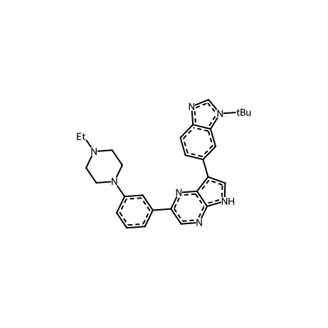 CCN1CCN(c2cccc(-c3cnc4[nH]cc(-c5ccc6ncn(C(C)(C)C)c6c5)c4n3)c2)CC1